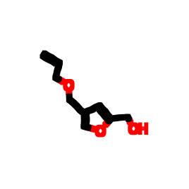 C=CCOCc1coc(CO)c1